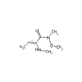 C/C=C(\NC)C(=O)N(C)OC